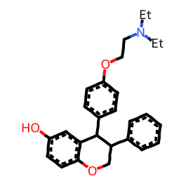 CCN(CC)CCOc1ccc(C2c3cc(O)ccc3OCC2c2ccccc2)cc1